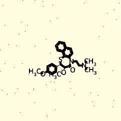 COc1ccc([C@@H]2Sc3c(ccc4ccccc34)N(CCN(C)C)C(=O)[C@@H]2OC)cc1